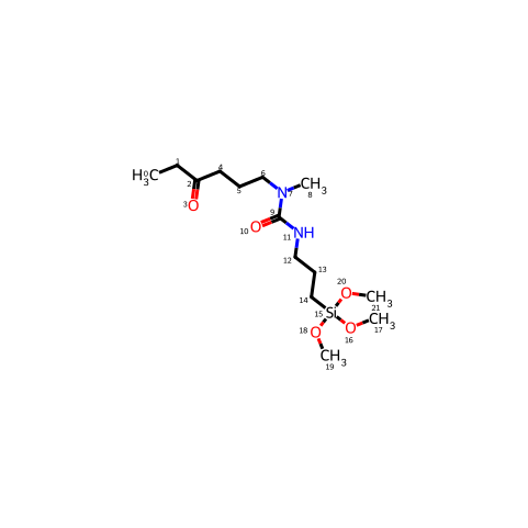 CCC(=O)CCCN(C)C(=O)NCCC[Si](OC)(OC)OC